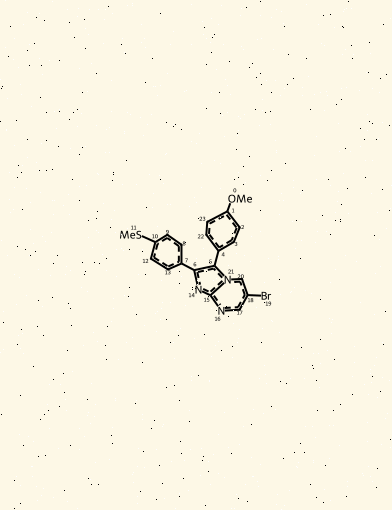 COc1ccc(-c2c(-c3ccc(SC)cc3)nc3ncc(Br)cn23)cc1